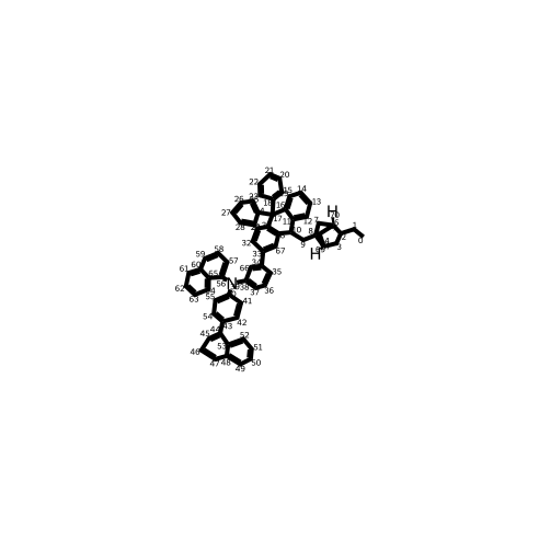 CCC1C[C@H]2C[C@@H]1CC2CC1c2ccccc2C(c2ccccc2)(c2ccccc2)c2ccc(-c3cccc(N(c4ccc(-c5cccc6ccccc56)cc4)c4cccc5ccccc45)c3)cc21